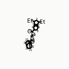 CCC1CC(CC)C2C3CC(CC3C(=O)OCOC3C4CC5CC(C4)C(=O)C3C5)C12